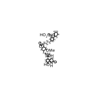 COc1cc2c(cc1CNC[C@H](O)c1ccc(O)c3[nH]c(=O)ccc13)oc(=O)n2CCCCc1ccc(-c2ccccc2)c(NC(=O)O)c1